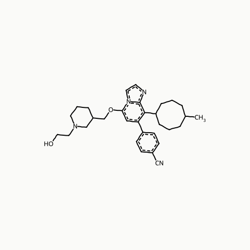 CC1CCCC(c2c(-c3ccc(C#N)cc3)cc(OCC3CCCN(CCO)C3)n3ccnc23)CCC1